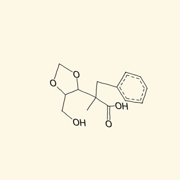 CC(Cc1ccccc1)(C(=O)O)C1OCOC1CO